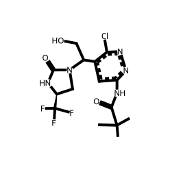 CC(C)(C)C(=O)Nc1cc(C(CO)N2C[C@@H](C(F)(F)F)NC2=O)c(Cl)nn1